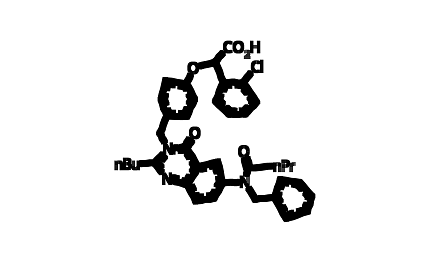 CCCCc1nc2ccc(N(Cc3ccccc3)C(=O)CCC)cc2c(=O)n1Cc1ccc(OC(C(=O)O)c2ccccc2Cl)cc1